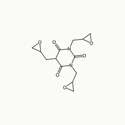 O=C1C(CC2CO2)C(=O)N(CC2CO2)C(=O)N1CC1CO1